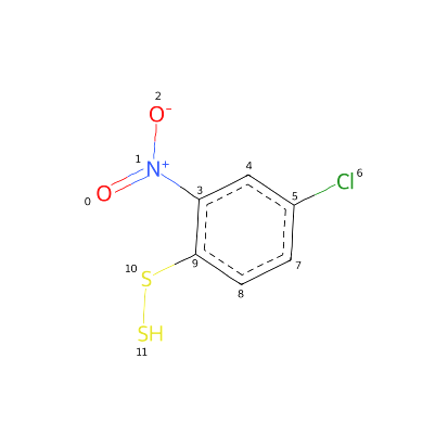 O=[N+]([O-])c1cc(Cl)ccc1SS